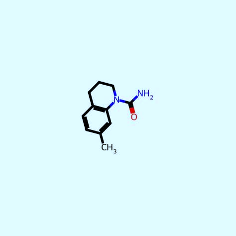 Cc1ccc2c(c1)N(C(N)=O)CCC2